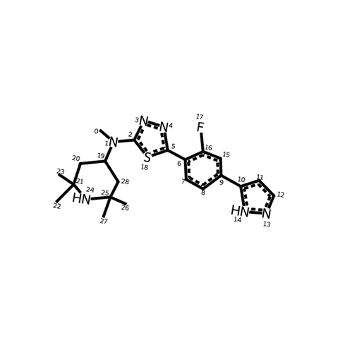 CN(c1nnc(-c2ccc(-c3ccn[nH]3)cc2F)s1)C1CC(C)(C)NC(C)(C)C1